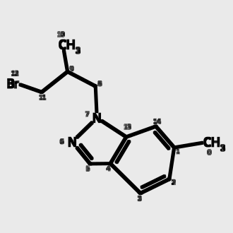 Cc1ccc2cnn(CC(C)CBr)c2c1